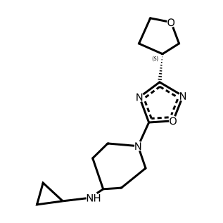 C1C[C@@H](c2noc(N3CCC(NC4CC4)CC3)n2)CO1